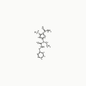 COC(C(=O)NCc1ccccc1)c1nc(C)c(C(N)=O)o1